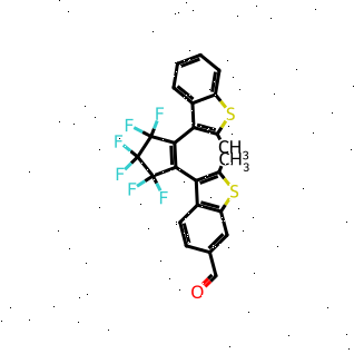 Cc1sc2ccccc2c1C1=C(c2c(C)sc3cc(C=O)ccc23)C(F)(F)C(F)(F)C1(F)F